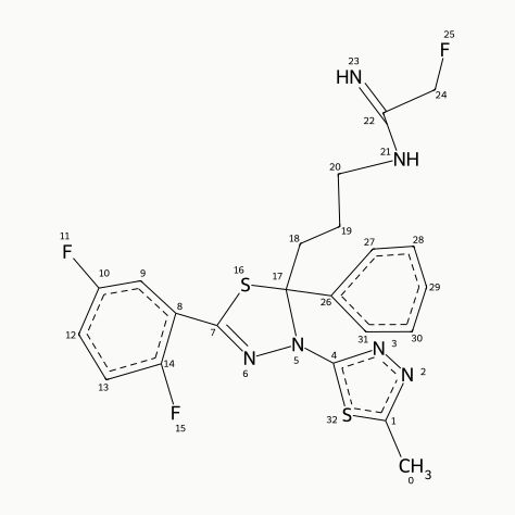 Cc1nnc(N2N=C(c3cc(F)ccc3F)SC2(CCCNC(=N)CF)c2ccccc2)s1